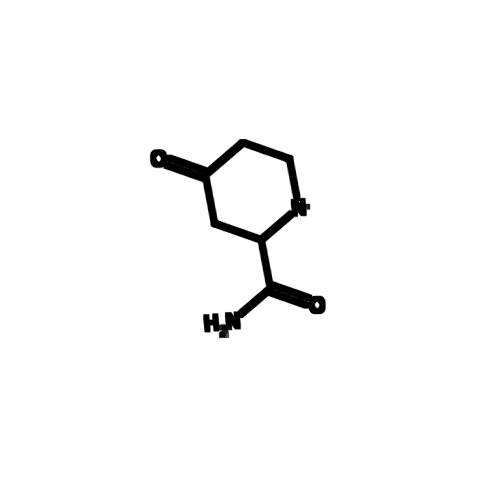 NC(=O)C1CC(=O)CC[N]1